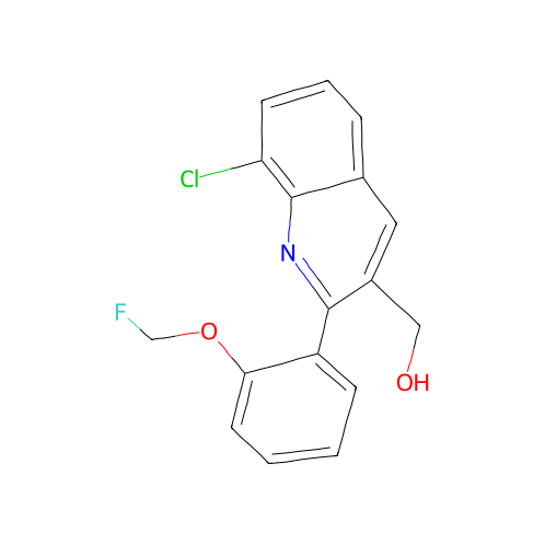 OCc1cc2cccc(Cl)c2nc1-c1ccccc1OCF